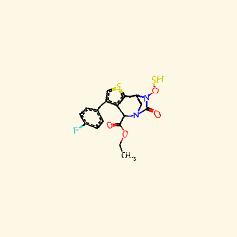 CCOC(=O)C1c2c(-c3ccc(F)cc3)csc2C2CN1C(=O)N2OS